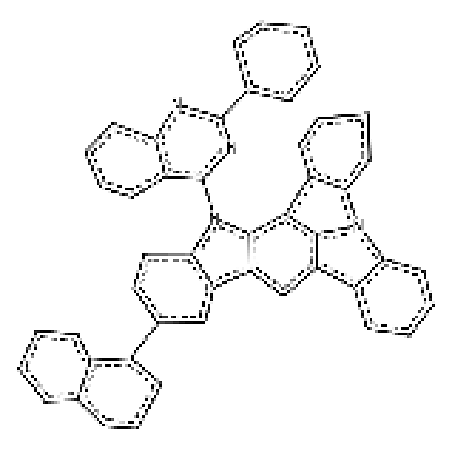 c1ccc(-c2nc(-n3c4ccc(-c5cccc6ccccc56)cc4c4cc5c6ccccc6n6c7ccccc7c(c43)c56)c3ccccc3n2)cc1